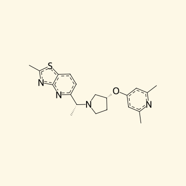 Cc1cc(O[C@@H]2CCN([C@H](C)c3ccc4sc(C)nc4n3)C2)cc(C)n1